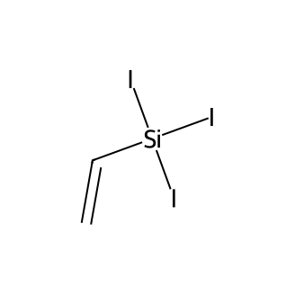 C=C[Si](I)(I)I